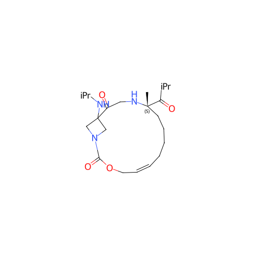 CC(C)NC12CN(C1)C(=O)OCC=CCCCC[C@@](C)(C(=O)C(C)C)NCC2=O